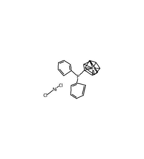 [Cl][Ni][Cl].c1ccc(P(c2ccccc2)[C]23[CH]4[CH]5[CH]6[CH]2[Fe]56432789[CH]3[CH]2[CH]7[CH]8[CH]39)cc1